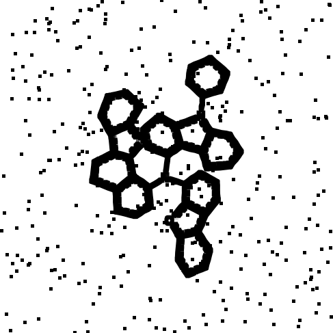 c1ccc(-n2c3ccccc3c3c(N(c4cccc5c4oc4ccccc45)c4cccc5ccc6c7ccccc7sc6c45)cccc32)cc1